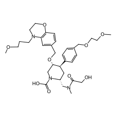 COCCCN1CCOc2ccc(CO[C@H]3CN(C(=O)O)[C@@H](CN(C)C(=O)CO)C[C@@H]3c3ccc(COCCOC)cc3)cc21